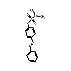 CN(C)S(=O)(=O)Oc1ccc(/N=N/c2ccccc2)cc1